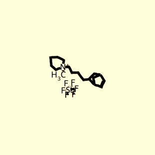 C[N+]1(CCCCC2CC3C=CC2C3)CCCCC1.[F][Sb-]([F])([F])([F])([F])[F]